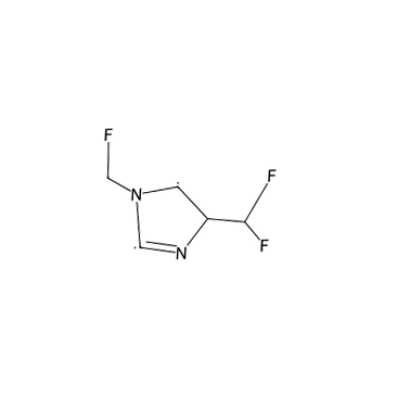 FCN1[C]=NC(C(F)F)[CH]1